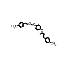 Cc1ccc(C=COCOc2ccc(OC(=O)C=Cc3ccc(C)cc3)cc2)cc1